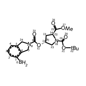 Bc1cccc2c1CN(C(=O)O[C@@H]1C[C@@H](C(=O)OC)N(C(=O)OC(C)(C)C)C1)C2